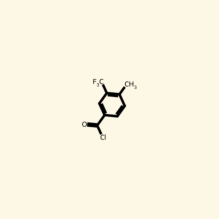 Cc1ccc(C(=O)Cl)cc1C(F)(F)F